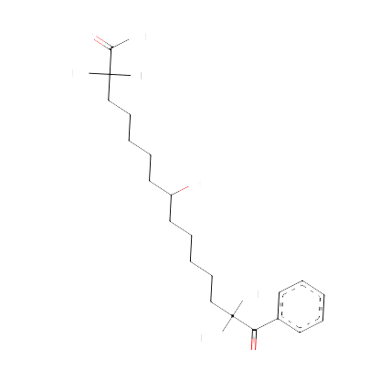 CC(=O)C(C)(C)CCCCCC(O)CCCCCC(C)(C)C(=O)c1ccccc1